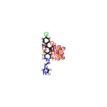 CC1(C)Oc2cc(Cl)ccc2[C@H]2OCC3(CCN(CCn4ccnc4)CC3)C[C@@H]21.O=P(O)(O)OP(=O)(O)O